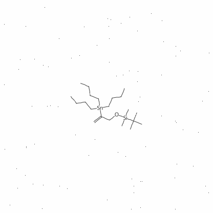 C=[C](CO[Si](C)(C)C(C)(C)C)[Sn]([CH2]CCC)([CH2]CCC)[CH2]CCC